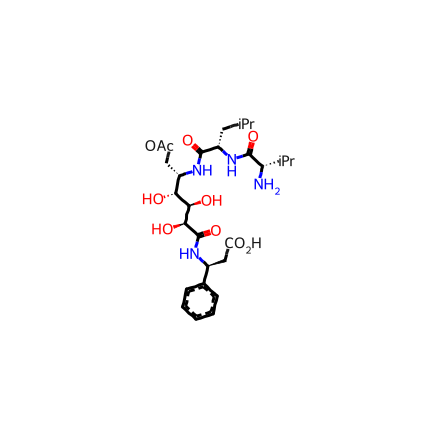 CC(=O)OC[C@H](NC(=O)[C@H](CC(C)C)NC(=O)[C@@H](N)C(C)C)[C@@H](O)[C@@H](O)[C@H](O)C(=O)N[C@@H](CC(=O)O)c1ccccc1